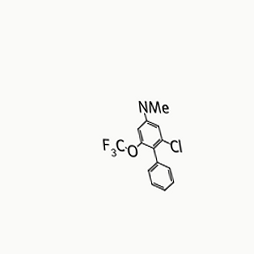 CNc1cc(Cl)c(-c2ccccc2)c(OC(F)(F)F)c1